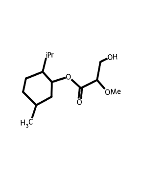 COC(CO)C(=O)OC1CC(C)CCC1C(C)C